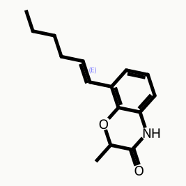 CCCC/C=C/c1cccc2c1OC(C)C(=O)N2